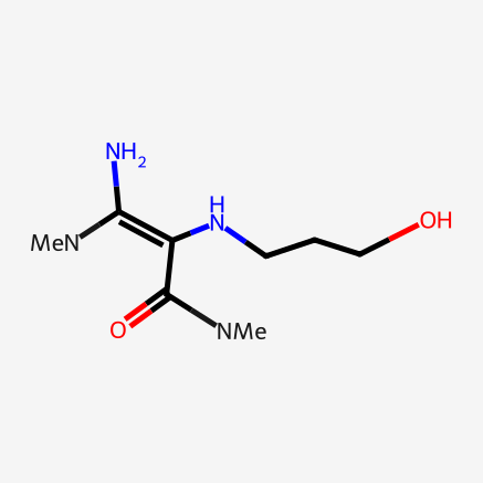 CNC(=O)/C(NCCCO)=C(/N)NC